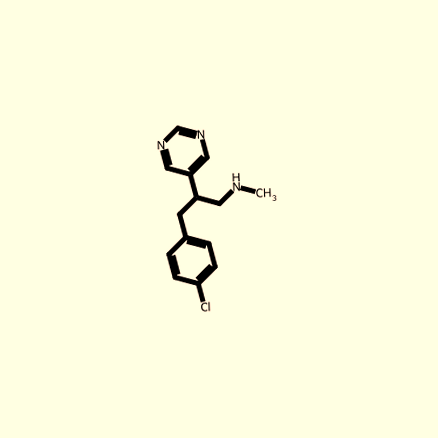 CNCC(Cc1ccc(Cl)cc1)c1cncnc1